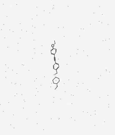 CCOc1ccc(C#Cc2ccc(CC[C@H]3CC[C@H](CC)CC3)cc2)cc1